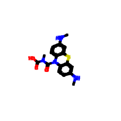 CNc1ccc2c(c1)Sc1cc(NC)ccc1N2C(=O)N(C)C(=O)O